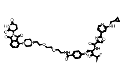 O=C1CCC(N2C(=O)c3cccc(N4CCN(CCOCCOCCNC(=O)c5ccc(-n6cc(NC(=O)c7coc(-c8ccnc(NCC9CC9)c8)n7)c(C(F)F)n6)cc5)CC4)c3C2=O)C(=O)N1